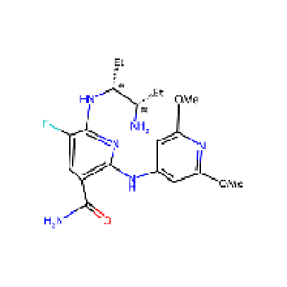 CC[C@H](N)[C@@H](CC)Nc1nc(Nc2cc(OC)nc(OC)c2)c(C(N)=O)cc1F